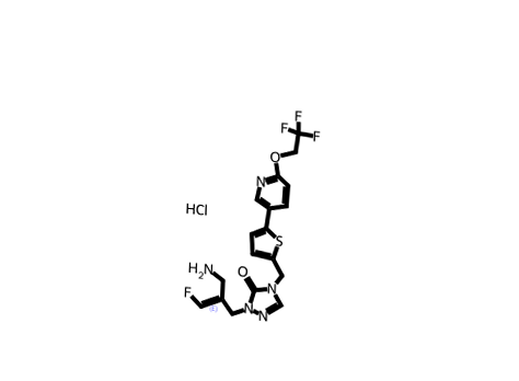 Cl.NC/C(=C\F)Cn1ncn(Cc2ccc(-c3ccc(OCC(F)(F)F)nc3)s2)c1=O